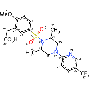 COc1ccc(S(=O)(=O)N2C(C)CN(c3ccc(C(F)(F)F)cn3)CC2C)cc1CC(=O)O